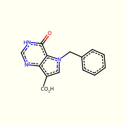 O=C(O)c1cn(Cc2ccccc2)c2c(=O)[nH]cnc12